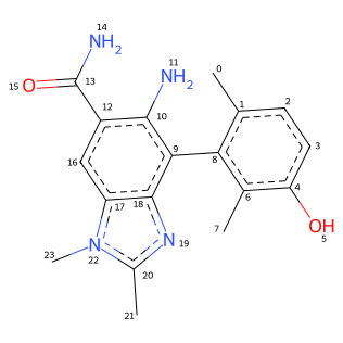 Cc1ccc(O)c(C)c1-c1c(N)c(C(N)=O)cc2c1nc(C)n2C